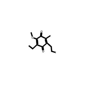 CCC1=C(OC)C(=O)C(C)=C(CCI)C1=O